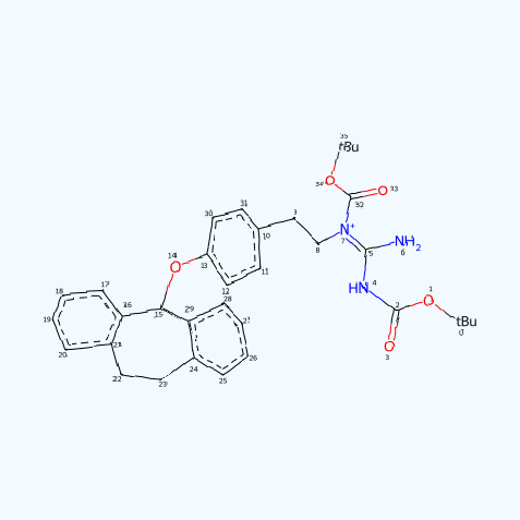 CC(C)(C)OC(=O)NC(N)=[N+](CCc1ccc(OC2c3ccccc3CCc3ccccc32)cc1)C(=O)OC(C)(C)C